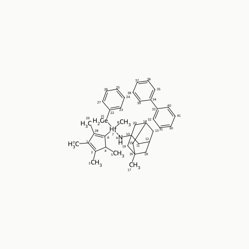 CC1=C(C)C(C)[C]([Hf]([CH3])([NH]C23CC4CC(CC(C)(C4)C2)C3)[GeH2][c]2ccccc2)=C1C.c1ccc(-c2ccccc2)cc1